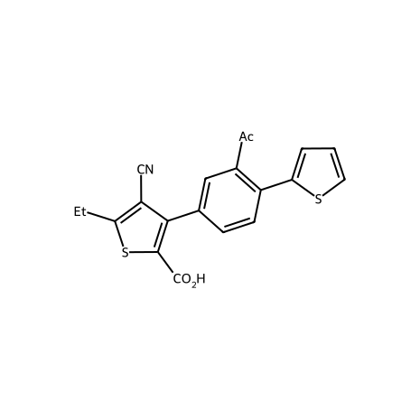 CCc1sc(C(=O)O)c(-c2ccc(-c3cccs3)c(C(C)=O)c2)c1C#N